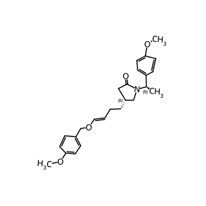 COc1ccc(COC=CCC[C@@H]2CC(=O)N([C@H](C)c3ccc(OC)cc3)C2)cc1